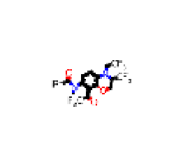 CC(C)C(=O)N(C)c1ccc2c(c1C(=O)C(F)(F)F)OCC(C(F)(F)F)N2CC(F)(F)F